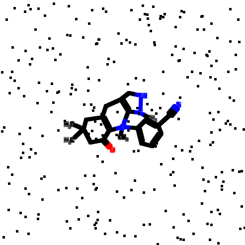 CN1NCC2=C1[N+](C)(c1cccc(C#N)c1)C1=C(C2)CC(C)(C)CC1=O